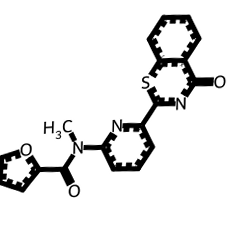 CN(C(=O)c1ccco1)c1cccc(-c2nc(=O)c3ccccc3s2)n1